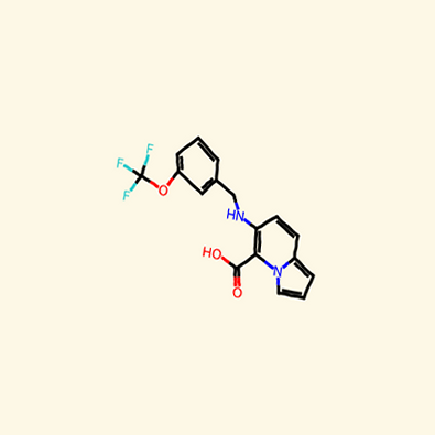 O=C(O)c1c(NCc2cccc(OC(F)(F)F)c2)ccc2cccn12